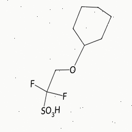 O=S(=O)(O)C(F)(F)COC1CCCCC1